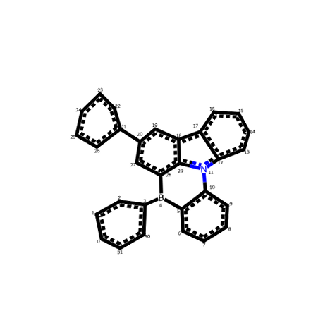 c1ccc(B2c3ccccc3-n3c4ccccc4c4cc(-c5ccccc5)cc2c43)cc1